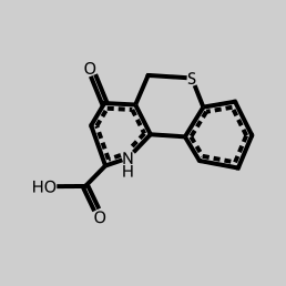 O=C(O)c1cc(=O)c2c([nH]1)-c1ccccc1SC2